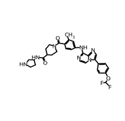 Cc1cc(Nc2nccn3c(-c4ccc(OC(F)F)cc4)cnc23)ccc1C(=O)N1CCC(C(=O)N[C@H]2CCNC2)CC1